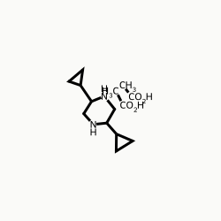 C1CC1C1CNC(C2CC2)CN1.CC(=O)O.CC(=O)O